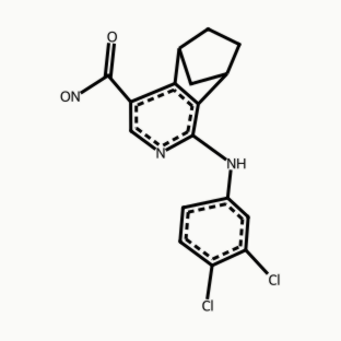 O=NC(=O)c1cnc(Nc2ccc(Cl)c(Cl)c2)c2c1C1CCC2C1